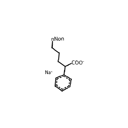 CCCCCCCCCCCCC(C(=O)[O-])c1ccccc1.[Na+]